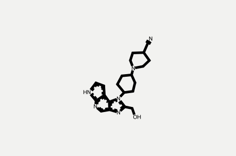 N#CC1CCN(C2CCC(n3c(CO)nc4cnc5[nH]ccc5c43)CC2)CC1